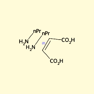 CCCN.CCCN.O=C(O)/C=C\C(=O)O